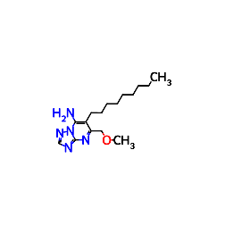 CCCCCCCCCc1c(COC)nc2ncnn2c1N